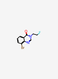 O=c1c2cccc(Br)c2ncn1CCF